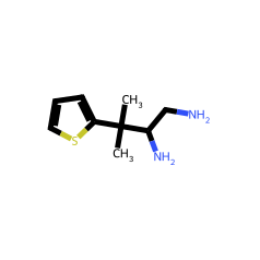 CC(C)(c1cccs1)C(N)CN